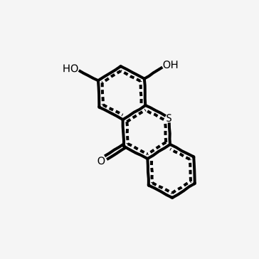 O=c1c2ccccc2sc2c(O)cc(O)cc12